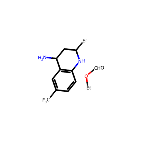 CCC1CC(N)c2cc(C(F)(F)F)ccc2N1.CCOC=O